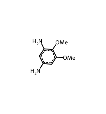 COc1cc(N)cc(N)c1OC